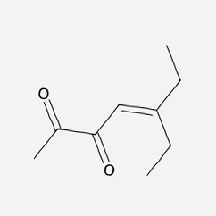 CCC(=CC(=O)C(C)=O)CC